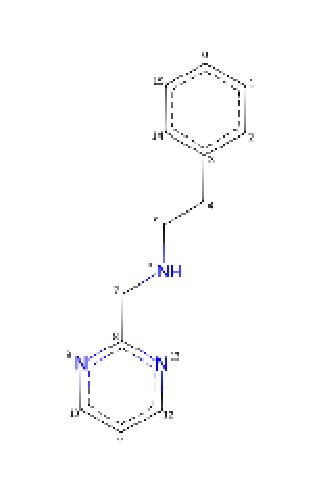 c1ccc(CCNCc2ncccn2)cc1